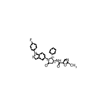 Cc1ncc(C(=O)N[C@H]2CC(=O)N(c3ccc4c(cnn4-c4ccc(F)cc4)c3)[C@@H]2c2ccccc2)o1